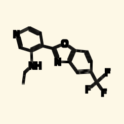 CCNc1cnccc1-c1nc2cc(C(F)(F)F)ccc2o1